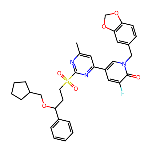 Cc1cc(-c2cc(F)c(=O)n(Cc3ccc4c(c3)OCO4)c2)nc(S(=O)(=O)CCC(OCC2CCCC2)c2ccccc2)n1